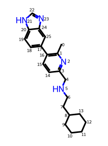 Cc1nc(CNCCC2CCCCC2)ccc1-c1ccc2[nH]cnc2c1